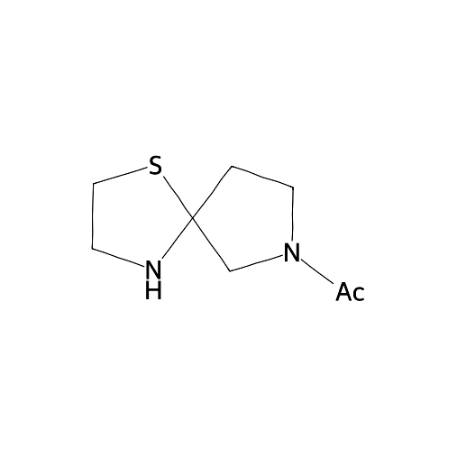 CC(=O)N1CCC2(C1)NCCS2